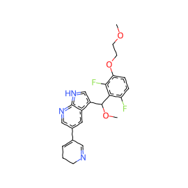 COCCOc1ccc(F)c(C(OC)c2c[nH]c3ncc(C4=CCCN=C4)cc23)c1F